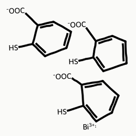 O=C([O-])c1ccccc1S.O=C([O-])c1ccccc1S.O=C([O-])c1ccccc1S.[Bi+3]